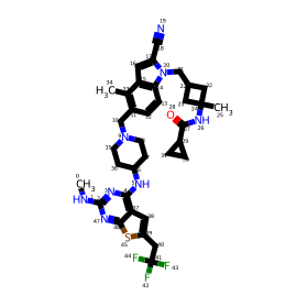 CNc1nc(NC2CCN(Cc3ccc4c(cc(C#N)n4CC4CC(C)(NC(=O)C5CC5)C4)c3C)CC2)c2cc(CC(F)(F)F)sc2n1